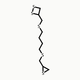 C(CCSCC1CSS1)CSCC1CS1